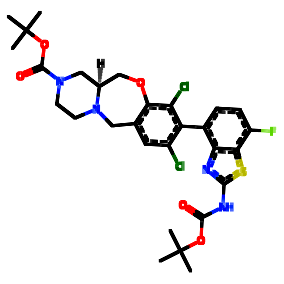 CC(C)(C)OC(=O)Nc1nc2c(-c3c(Cl)cc4c(c3Cl)OC[C@@H]3CN(C(=O)OC(C)(C)C)CCN3C4)ccc(F)c2s1